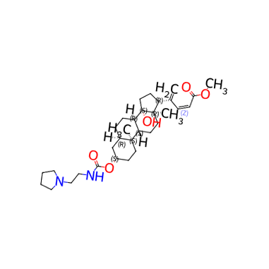 C=C(/C=C\C(=O)OC)[C@H]1CC[C@]2(O)[C@@H]3CC[C@@H]4C[C@@H](OC(=O)NCCN5CCCC5)CC[C@]4(C)[C@H]3CC[C@]12C